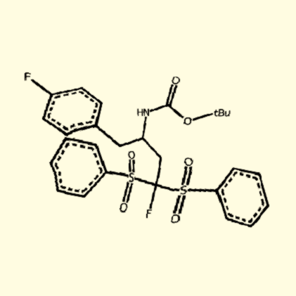 CC(C)(C)OC(=O)NC(Cc1ccc(F)cc1)CC(F)(S(=O)(=O)c1ccccc1)S(=O)(=O)c1ccccc1